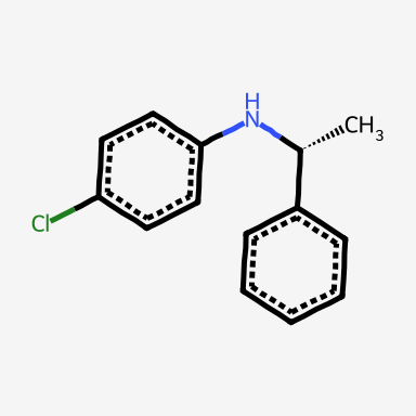 C[C@@H](Nc1ccc(Cl)cc1)c1ccccc1